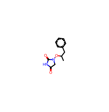 CC(Cc1ccccc1)ON1CC(=O)NC1=O